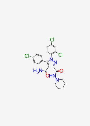 NC(=O)c1c(C(=O)NN2CCCCC2)nn(-c2ccc(Cl)cc2Cl)c1-c1ccc(Cl)cc1